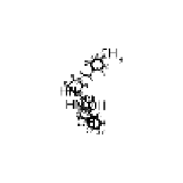 Cc1ccc(CC[C@H]2CCN[C@@H](C(=O)N[C@@H](CO)[C@@H](O)c3ccccc3)C2)cc1